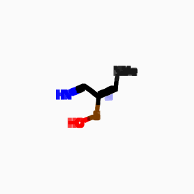 CN/C=C(\C=N)SO